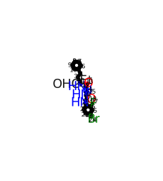 CCC(C=O)(CCc1ccccc1)NC(=O)N(C)NC(=O)Nc1ccc(Br)cc1F